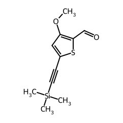 COc1cc(C#C[Si](C)(C)C)sc1C=O